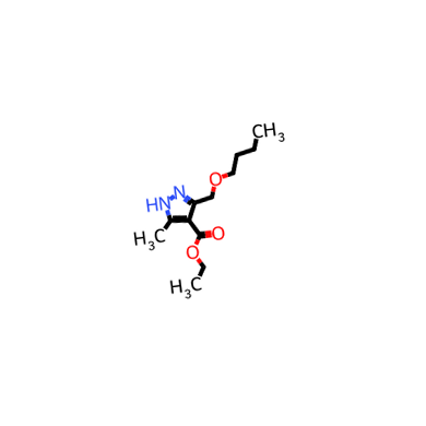 CCCCOCc1n[nH]c(C)c1C(=O)OCC